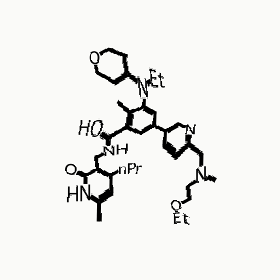 CCCc1cc(C)[nH]c(=O)c1CNC(O)c1cc(-c2ccc(CN(C)CCOCC)nc2)cc(N(CC)C2CCOCC2)c1C